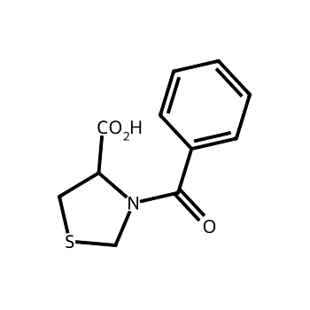 O=C(O)C1CSCN1C(=O)c1ccccc1